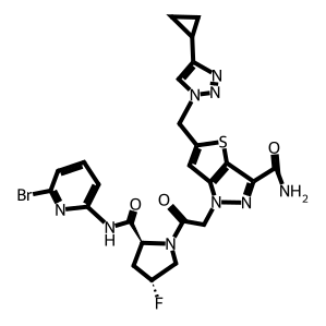 NC(=O)c1nn(CC(=O)N2C[C@H](F)C[C@H]2C(=O)Nc2cccc(Br)n2)c2cc(Cn3cc(C4CC4)nn3)sc12